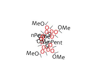 CCCCCC(C)(C(=O)C(C)(CCCCC)[Si](OC(C)OC(C)OC)(OC(C)OC(C)OC)OC(C)OC(C)OC)[Si](OC(C)OC(C)OC)(OC(C)OC(C)OC)OC(C)OC(C)OC